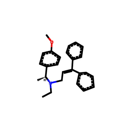 CCN(CC=C(c1ccccc1)c1ccccc1)[C@H](C)c1ccc(OC)cc1